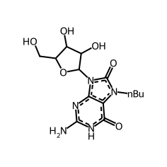 CCCCn1c(=O)n(C2OC(CO)C(O)C2O)c2nc(N)[nH]c(=O)c21